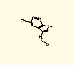 O=C=Nc1c[nH]c2ncc(Cl)cc12